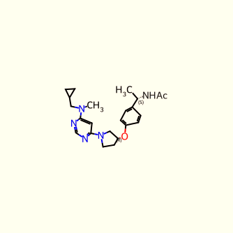 CC(=O)N[C@@H](C)c1ccc(O[C@@H]2CCN(c3cc(N(C)CC4CC4)ncn3)C2)cc1